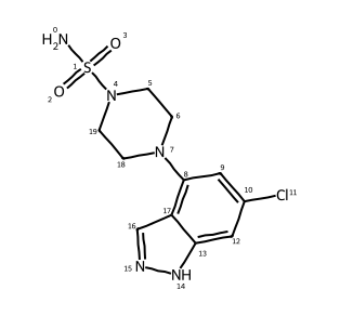 NS(=O)(=O)N1CCN(c2cc(Cl)cc3[nH]ncc23)CC1